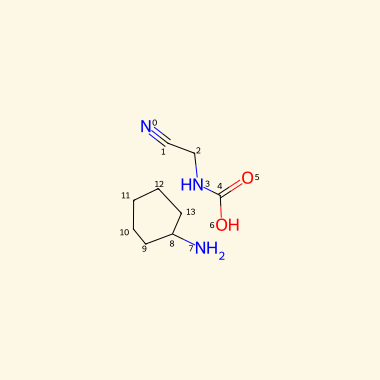 N#CCNC(=O)O.NC1CCCCC1